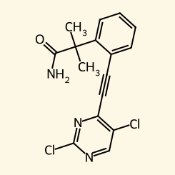 CC(C)(C(N)=O)c1ccccc1C#Cc1nc(Cl)ncc1Cl